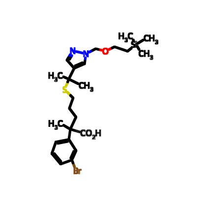 CC(C)(SCCCC(C)(C(=O)O)c1cccc(Br)c1)c1cnn(COCC[Si](C)(C)C)c1